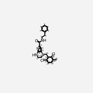 O=C(NCCc1ccccc1)c1c2c3c(n1-2)NCCN3Cc1c(Cl)ccc(F)c1Cl